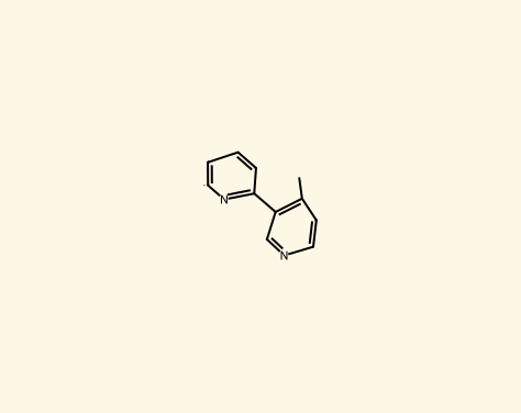 Cc1ccncc1-c1ccc[c]n1